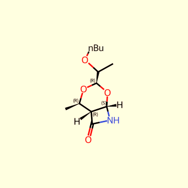 CCCCOC(C)[C@@H]1O[C@H](C)[C@H]2C(=O)N[C@H]2O1